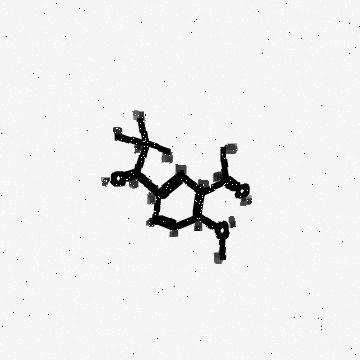 COc1ccc(C(=O)C(C)(C)C)cc1C(=O)I